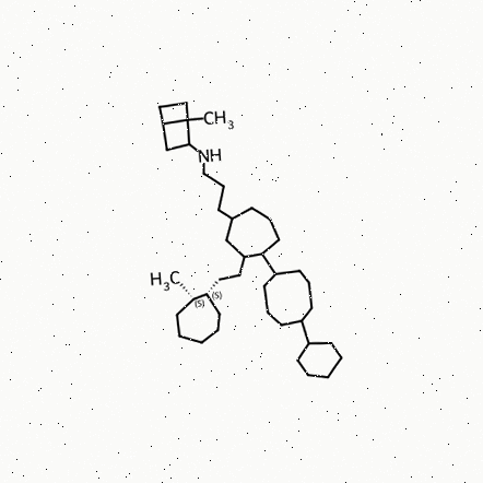 C[C@H]1CCCCC[C@H]1CCC1CC(CCCNC2CC3CCC32C)CCCC1C1CCCC(C2CCCCC2)CCC1